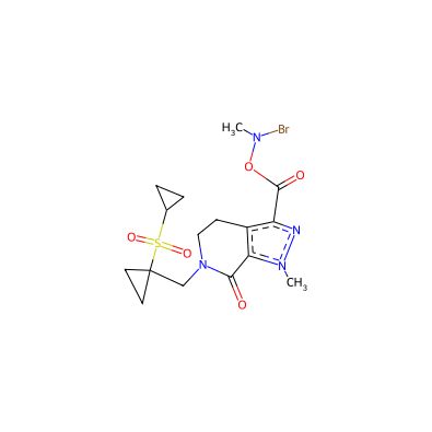 CN(Br)OC(=O)c1nn(C)c2c1CCN(CC1(S(=O)(=O)C3CC3)CC1)C2=O